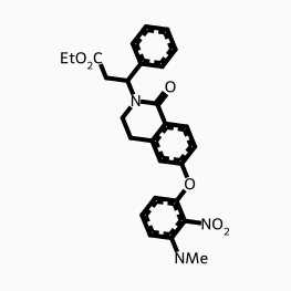 CCOC(=O)CC(c1ccccc1)N1CCc2cc(Oc3cccc(NC)c3[N+](=O)[O-])ccc2C1=O